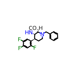 O=C(O)N[C@@H]1CN(Cc2ccccc2)CC[C@H]1c1cc(F)c(F)cc1F